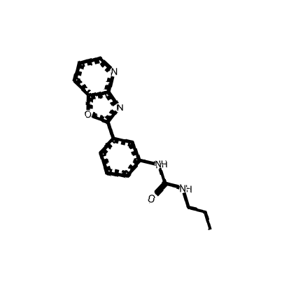 CCCNC(=O)Nc1cccc(-c2nc3ncccc3o2)c1